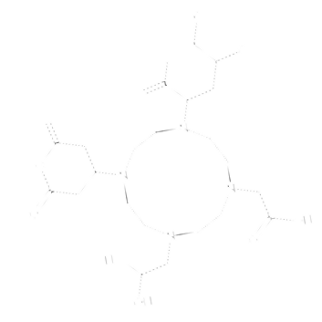 CCC(C)CC(C(=O)O)N1CCN(CC(=O)O)CCN(CC(O)O)CCN(C2CC(=O)OC(=O)C2)CC1